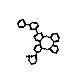 C1=CCNC(c2ccc3c(c2)Sc2ccccc2-c2ccccc2Sc2cc(-c4cccc(-c5ccccc5)c4)ccc2-3)=C1